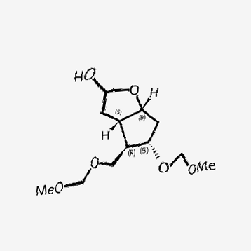 COCOC[C@H]1[C@@H]2CC(O)O[C@@H]2C[C@@H]1OCOC